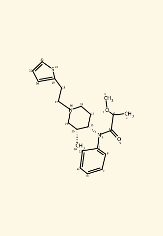 COC(C)C(=O)N(c1ccccc1)[C@H]1CCN(CCc2cccs2)C[C@H]1C